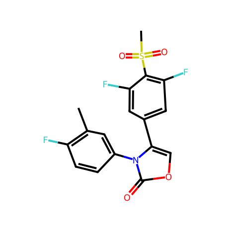 Cc1cc(-n2c(-c3cc(F)c(S(C)(=O)=O)c(F)c3)coc2=O)ccc1F